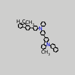 Cc1ccc2c3cc(-c4ccc(N(c5ccccc5)c5ccc(-c6ccc7c(c6)C(C)(C)c6ccccc6-7)cc5)cc4)ccc3n(-c3ccc4ccccc4c3)c2c1